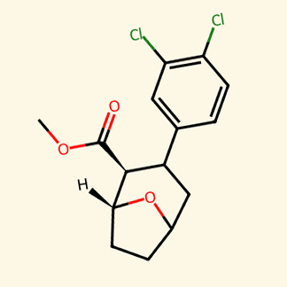 COC(=O)[C@H]1C(c2ccc(Cl)c(Cl)c2)CC2CC[C@H]1O2